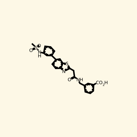 CS(=O)(=O)Nc1cccc(-c2ccc3nc(CC(=O)NCc4cccc(C(=O)O)c4)sc3c2)c1